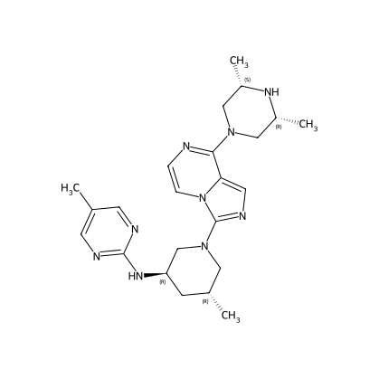 Cc1cnc(N[C@@H]2C[C@@H](C)CN(c3ncc4c(N5C[C@@H](C)N[C@@H](C)C5)nccn34)C2)nc1